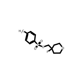 Cc1ccc(S(=O)(=O)OCC2(F)CCOCC2)cc1